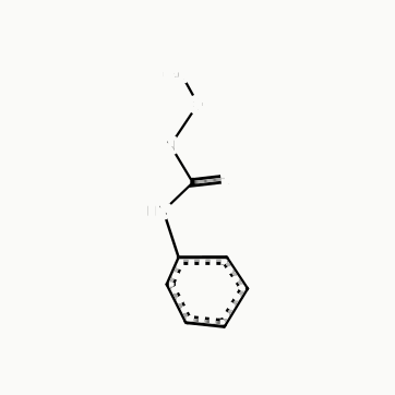 CC(C)(C)ONC(=O)Nc1ccccc1